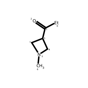 CCC(=O)C1CN(C)C1